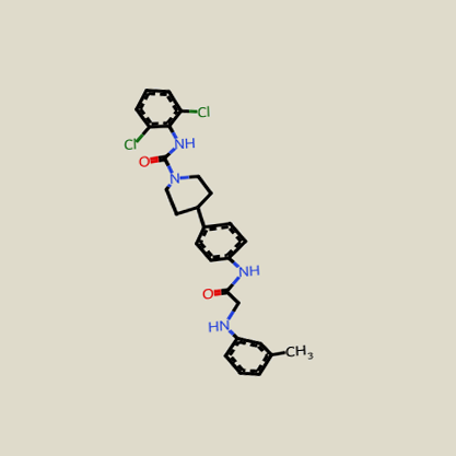 Cc1cccc(NCC(=O)Nc2ccc(C3CCN(C(=O)Nc4c(Cl)cccc4Cl)CC3)cc2)c1